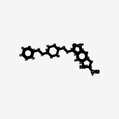 O=CC1Cc2cc3onc(CCC4CCN(CCc5ccccc5)CC4)c3cc2N1